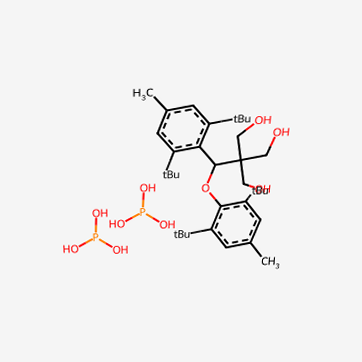 Cc1cc(C(C)(C)C)c(OC(c2c(C(C)(C)C)cc(C)cc2C(C)(C)C)C(CO)(CO)CO)c(C(C)(C)C)c1.OP(O)O.OP(O)O